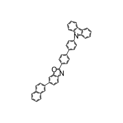 c1ccc2cc(-c3ccc4nc(-c5ccc(-c6ccc(-n7c8ccccc8c8ccccc87)cc6)cc5)oc4c3)ccc2c1